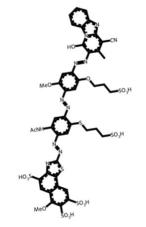 COc1cc(N=Nc2c(C)c(C#N)c3nc4ccccc4n3c2O)c(OCCCS(=O)(=O)O)cc1N=Nc1cc(NC(C)=O)c(N=Nc2nc3c(S(=O)(=O)O)cc4c(OC)c(S(=O)(=O)O)c(S(=O)(=O)O)cc4c3s2)cc1SCCCS(=O)(=O)O